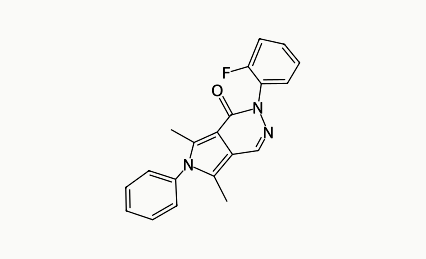 Cc1c2cnn(-c3ccccc3F)c(=O)c2c(C)n1-c1ccccc1